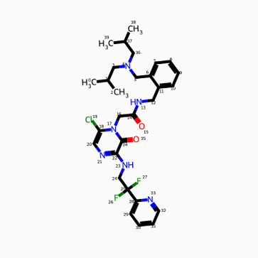 CC(C)CN(Cc1ccccc1CNC(=O)Cn1c(Cl)cnc(NCC(F)(F)c2ccccn2)c1=O)CC(C)C